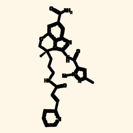 CCn1nc(C)cc1C(=O)Nc1nc2cc(C(N)=O)cc3c2n1[C@@](C)(CCCNC(=O)/C=C/c1ccccn1)CO3